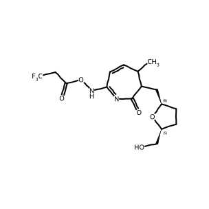 CC1C=CC(NOC(=O)CC(F)(F)F)=NC(=O)C1C[C@H]1CC[C@@H](CO)O1